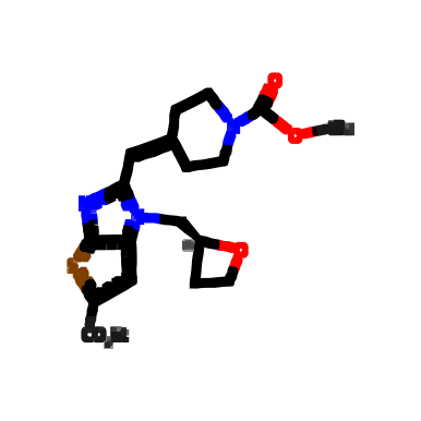 CCOC(=O)c1cc2c(nc(C=C3CCN(C(=O)OC(C)(C)C)CC3)n2C[C@@H]2CCO2)s1